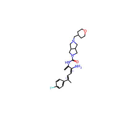 C=C(NC(=O)N1CC2CN(CC3CCOCC3)CC2C1)/C(N)=C\C=C(/C)c1ccc(F)cc1